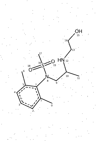 Cc1cccc(C)c1N(CC(C)NCCO)S(C)(=O)=O